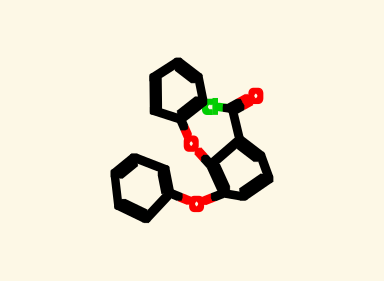 O=C(Cl)c1cccc(Oc2ccccc2)c1Oc1ccccc1